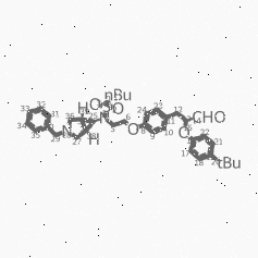 CCCCS(=O)(=O)N(CCOc1ccc(C[C@@H](C=O)Oc2ccc(C(C)(C)C)cc2)cc1)[C@H]1[C@@H]2CN(Cc3ccccc3)C[C@@H]21